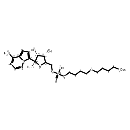 CCCCCCCCCCCCCCOCCCCOP(=O)(O)OCC1O[C@@](C)(c2ccc3c(N)ncnn23)[C@H](O)[C@@H]1O